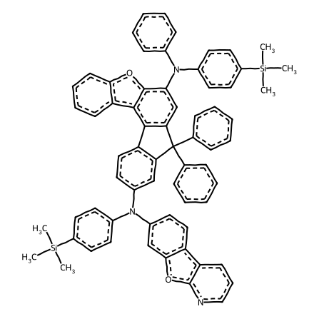 C[Si](C)(C)c1ccc(N(c2ccc3c(c2)C(c2ccccc2)(c2ccccc2)c2cc(N(c4ccccc4)c4ccc([Si](C)(C)C)cc4)c4oc5ccccc5c4c2-3)c2ccc3c(c2)oc2ncccc23)cc1